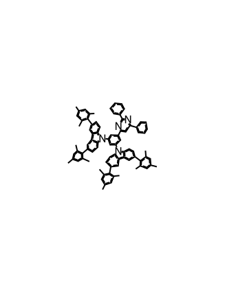 Cc1cc(C)c(-c2ccc3c(c2)c2cc(-c4c(C)cc(C)cc4C)ccc2n3-c2cc(-c3cc(-c4ccccc4)nc(-c4ccccc4)n3)cc(-n3c4ccc(-c5c(C)cc(C)cc5C)cc4c4cc(-c5c(C)cc(C)cc5C)ccc43)c2)c(C)c1